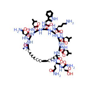 CN[C@]1(C)CCCCCCC=CCCC[C@@](C)(C(=O)N[C@@H](CCC(N)=O)C(=O)N[C@@H](CC(=O)O)C(N)=O)NC(=O)[C@H](N[C@H](C=O)CC(C)C)NC(=O)[C@H](N[C@H](C=O)CC(C)C)NC(=O)[C@H](N[C@H](C=O)CCCCN)NC(=O)[C@H](N[C@H](C=O)Cc2c[nH]c3ccccc23)NC(=O)[C@H](N[C@H](C=O)CC(C)C)NC(=O)[C@H](N[C@H](C=O)CC(N)=O)NC1=O